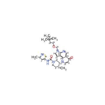 Cc1cc(NC(=O)N2CC[C@@H](C)[C@@H](n3ccc(=O)c4cnc5c(ccn5COCC[Si](C)(C)C)c43)C2)sn1